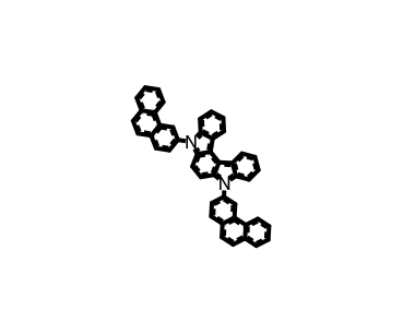 c1ccc2c(c1)ccc1ccc(-n3c4ccccc4c4c5c6ccccc6n(-c6ccc7ccc8ccccc8c7c6)c5ccc43)cc12